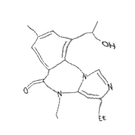 CCc1ncn2c3c(C(C)O)cc(C)cc3c(=O)n(C)c12